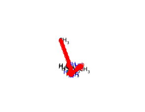 COCCOCCOCCOCCOCCOCCOCCOCCOCCOCCOCCOCCC(=O)NCCN(CC(=O)OC(C)(C)c1ccc(C(=O)Nc2cc(F)cc(-c3ncnc4[nH]c(-c5ccc(CCN6CCC7(CC6)CCN(C(=O)c6ccc(OC)c(N8CCC(=O)NC8=O)c6)CC7)cc5)cc34)c2C)c(F)c1)C(=O)OC(C)(C)C